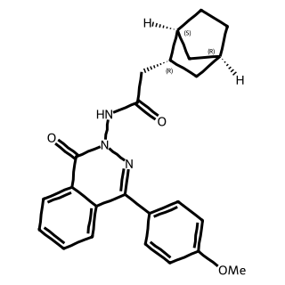 COc1ccc(-c2nn(NC(=O)C[C@H]3C[C@@H]4CC[C@H]3C4)c(=O)c3ccccc23)cc1